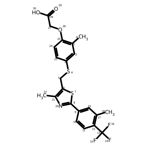 Cc1cc(SCc2sc(-c3ccc(C(F)(F)F)c(C)c3)nc2C)ccc1OCC(=O)O